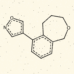 c1cc2c(c(-c3cnoc3)c1)CCCOC2